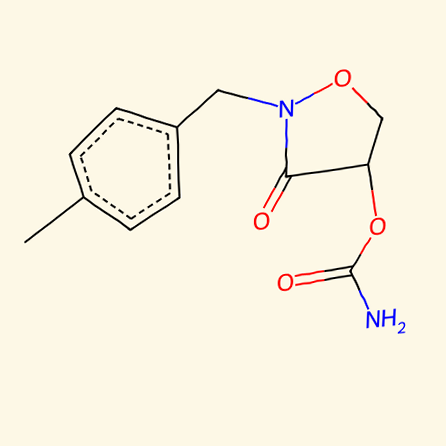 Cc1ccc(CN2OCC(OC(N)=O)C2=O)cc1